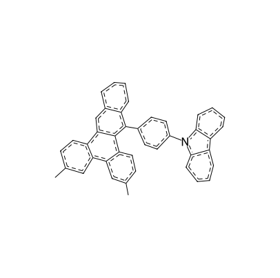 Cc1ccc2c(c1)c1cc(C)ccc1c1c(-c3ccc(-n4c5ccccc5c5ccccc54)cc3)c3ccccc3cc21